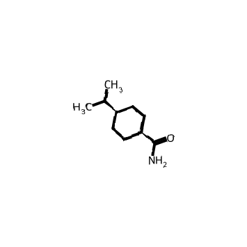 CC(C)[C@H]1CC[C@@H](C(N)=O)CC1